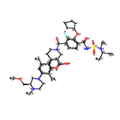 COC[C@H]1CN(c2cc(C)c3c4c(c(=O)oc3c2C)CN(C(=O)c2ccc(C(=O)NS(=O)(=O)N(C)C(C)C)c(OC3CCCC3)c2F)CC4)CCN1C